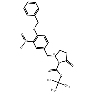 CC(C)(C)OC(=O)N1C(=O)CC[C@@H]1Cc1ccc(OCc2ccccc2)c([N+](=O)[O-])c1